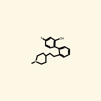 CN1CCC(CCc2ccccc2-c2ccc(F)cc2O)CC1